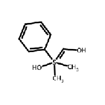 CS(C)(O)(=CO)c1ccccc1